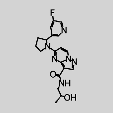 C[C@H](O)CNC(=O)c1cnn2ccc(N3CCCC3c3cncc(F)c3)nc12